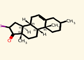 CC1CC[C@@]2(C)C(=CC[C@@H]3[C@H]2CC[C@]2(C)C(=O)C(I)C[C@@H]32)C1